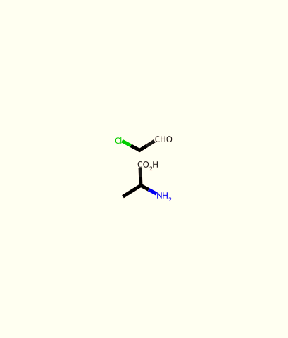 CC(N)C(=O)O.O=CCCl